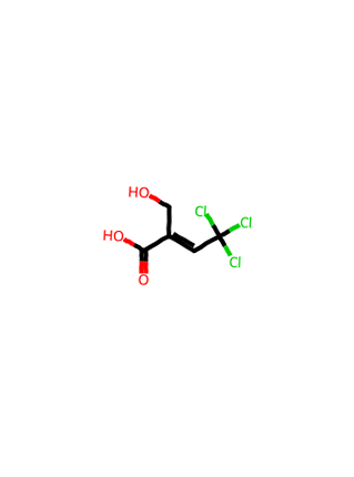 O=C(O)/C(=C/C(Cl)(Cl)Cl)CO